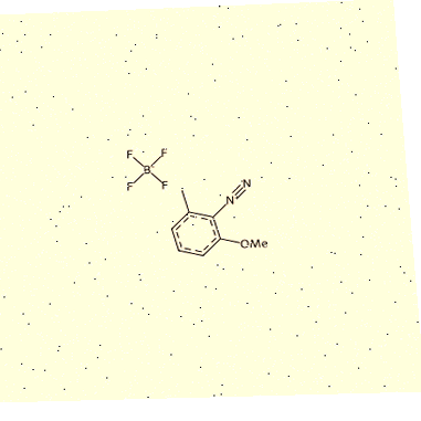 COc1cccc(C)c1[N+]#N.F[B-](F)(F)F